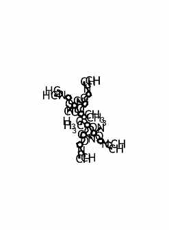 [C-]#[N+]c1c(Oc2cccc(N(CC#C)CC#C)c2)cccc1Oc1cc2c(cc1Oc1cccc(Oc3cccc(N(CC#C)CC#C)c3)c1[N+]#[C-])C(C)(C)C1c3cc(Oc4cccc(Oc5cccc(N(CC#C)CC#C)c5)c4C#N)c(Oc4cccc(Oc5cccc(N(CC#C)CC#C)c5)c4C#N)cc3C(C)(C)C21